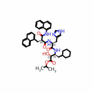 CC(C)OC(=O)[C@@H](O)[C@H](CC1CCCCC1)NC(=O)[C@H](Cc1c[nH]cn1)NC(=O)[C@@H](Cc1cccc2ccccc12)C(=O)Nc1cccc2ccccc12